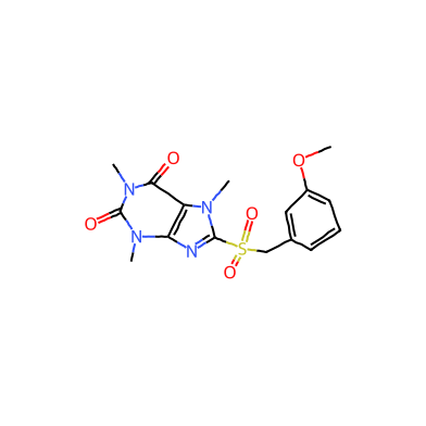 COc1cccc(CS(=O)(=O)c2nc3c(c(=O)n(C)c(=O)n3C)n2C)c1